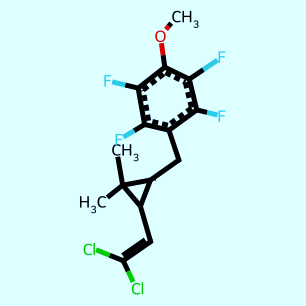 COc1c(F)c(F)c(C[C]2C(C=C(Cl)Cl)C2(C)C)c(F)c1F